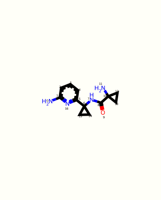 Nc1cccc(C2(NC(=O)C3(N)CC3)CC2)n1